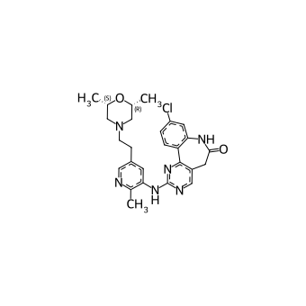 Cc1ncc(CCN2C[C@@H](C)O[C@@H](C)C2)cc1Nc1ncc2c(n1)-c1ccc(Cl)cc1NC(=O)C2